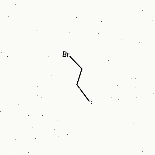 [C]CCBr